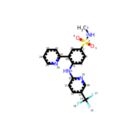 CNS(=O)(=O)c1ccc(Nc2ccc(C(F)(F)F)cn2)c(-c2ccccn2)c1